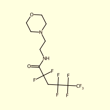 O=C(NCCN1CCOCC1)C(F)(F)CC(F)(F)C(F)(F)C(F)(F)F